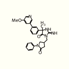 COc1cncc(-c2cccc(C3(C)NC(=N)N(CC4CC(=O)N(c5ccccc5)C4)C3=O)c2)c1